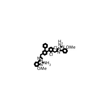 COc1cccc2c1nc(N)n1cc(Cc3ccc(-c4ccc(Cl)c(Cc5cn6c(N)nc7c(OC)cccc7c6n5)c4Cl)c(-c4ccccc4)c3)nc21